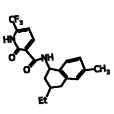 CCC1Cc2cc(C)ccc2C(NC(=O)c2ccc(C(F)(F)F)[nH]c2=O)C1